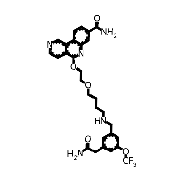 NC(=O)Cc1cc(CNCCCCOCCOc2nc3cc(C(N)=O)ccc3c3cnccc23)cc(OC(F)(F)F)c1